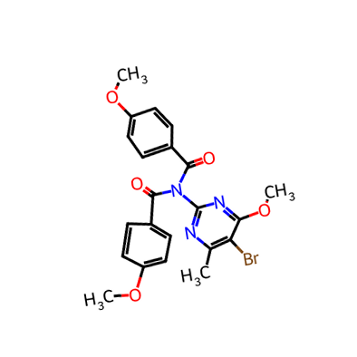 COc1ccc(C(=O)N(C(=O)c2ccc(OC)cc2)c2nc(C)c(Br)c(OC)n2)cc1